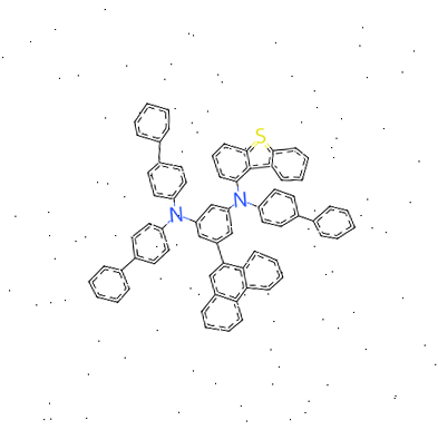 c1ccc(-c2ccc(N(c3ccc(-c4ccccc4)cc3)c3cc(-c4cc5ccccc5c5ccccc45)cc(N(c4ccc(-c5ccccc5)cc4)c4cccc5sc6ccccc6c45)c3)cc2)cc1